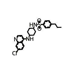 CCCc1ccc(S(=O)(=O)NC2CCC(Nc3ccnc4cc(Cl)ccc34)CC2)cc1